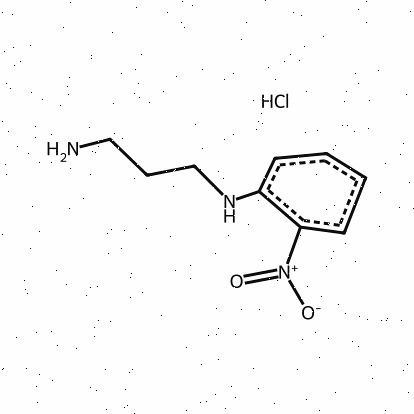 Cl.NCCCNc1ccccc1[N+](=O)[O-]